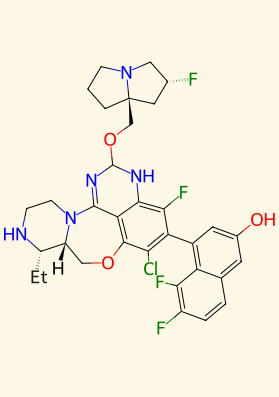 CC[C@@H]1NCCN2C3=NC(OC[C@@]45CCCN4C[C@H](F)C5)Nc4c(F)c(-c5cc(O)cc6ccc(F)c(F)c56)c(Cl)c(c43)OC[C@H]12